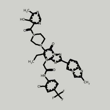 CCc1c(N2CCN(C(=O)c3ncnc(C)c3O)CC2)c(=O)n2nc(-c3ccc4nc(C)cn4c3)nc2n1CC(=O)Nc1ccc(C(F)(F)F)cc1Cl